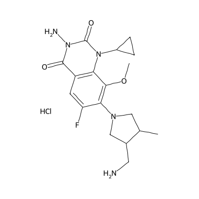 COc1c(N2CC(C)C(CN)C2)c(F)cc2c(=O)n(N)c(=O)n(C3CC3)c12.Cl